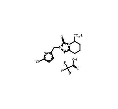 O=C(O)C(F)(F)F.O=C(O)C1CCCc2nn(Cc3ccc(Cl)s3)c(=O)n21